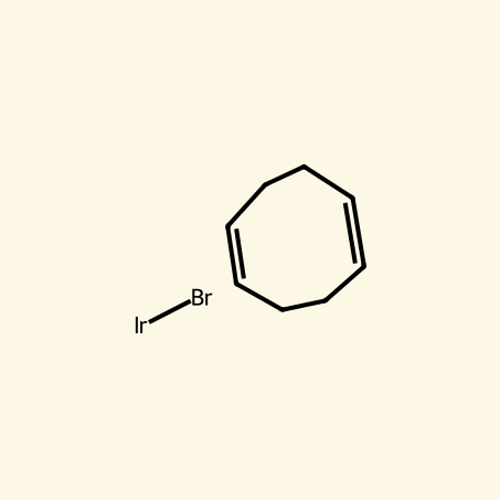 C1=CCCC=CCC1.[Br][Ir]